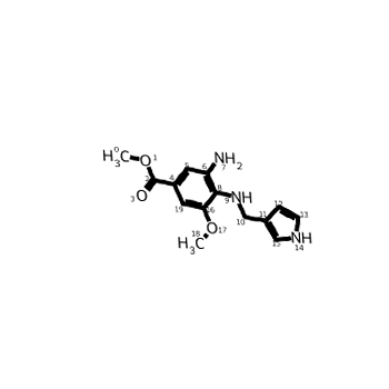 COC(=O)c1cc(N)c(NCc2cc[nH]c2)c(OC)c1